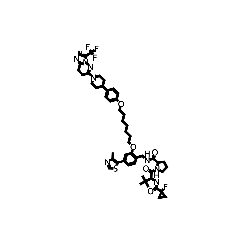 Cc1ncsc1-c1ccc(CNC(=O)C2CCCN2C(=O)C(NC(=O)C2(F)CC2)C(C)(C)C)c(OCCCCCCCOc2ccc(C3CCN(C4=Nn5c(nnc5C(F)(F)F)CC4)CC3)cc2)c1